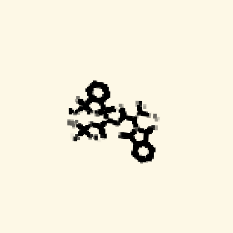 CC(C)[C@@H](C(=O)ON(C(=O)OC(C)(C)C)S(=O)(=O)c1ccccc1S(C)(=O)=O)N1C(=O)c2ccccc2C1=O